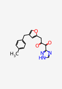 Cc1ccc(Cc2coc(CC(=O)C(=O)c3nc[nH]n3)c2)cc1